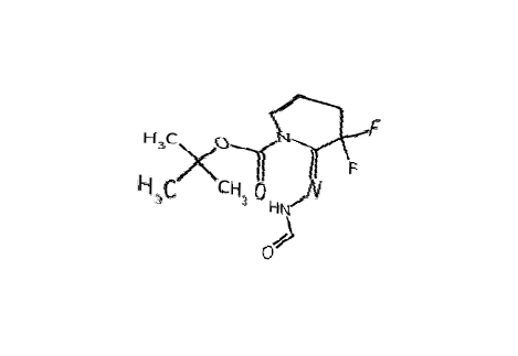 CC(C)(C)OC(=O)N1CCCC(F)(F)C1=NNC=O